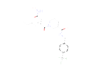 CCCC[C@H](CC(=O)NO)C(=O)N1CCCC(C(=O)NCc2ccc(C(F)(F)F)cc2)C1